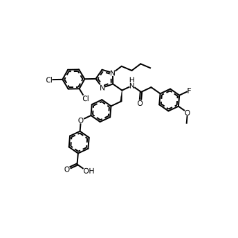 CCCCn1cc(-c2ccc(Cl)cc2Cl)nc1[C@H](Cc1ccc(Oc2ccc(C(=O)O)cc2)cc1)NC(=O)Cc1ccc(OC)c(F)c1